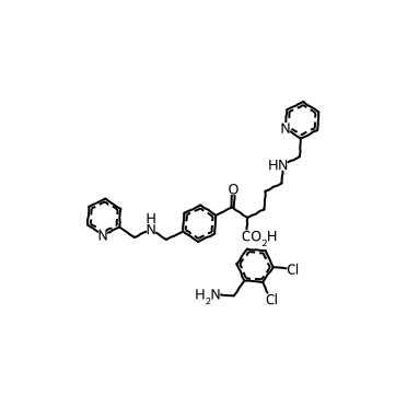 NCc1cccc(Cl)c1Cl.O=C(O)C(CCCNCc1ccccn1)C(=O)c1ccc(CNCc2ccccn2)cc1